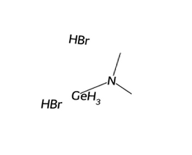 Br.Br.C[N](C)[GeH3]